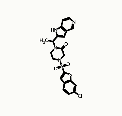 CC(c1cc2cnccc2[nH]1)N1CCN(S(=O)(=O)c2cc3ccc(Cl)cc3s2)CC1=O